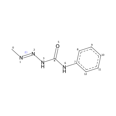 C/N=N/NC(=O)Nc1ccccc1